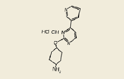 Cl.Cl.NC1CCC(Oc2nccc(-c3cccnc3)n2)CC1